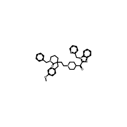 COc1ccc(CC2(CCN3CCC(C(=O)c4nc5ccccc5n4Cc4ccccn4)CC3)CCCN(Cc3ccccc3)C2=O)cc1